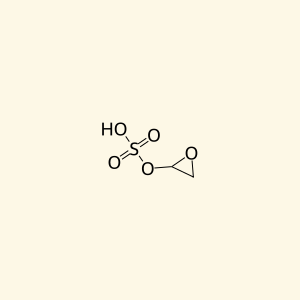 O=S(=O)(O)OC1CO1